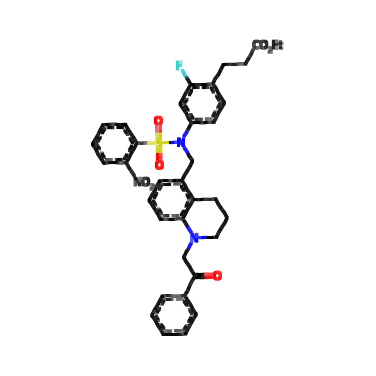 CCOC(=O)CCc1ccc(N(Cc2cccc3c2CCCN3CC(=O)c2ccccc2)S(=O)(=O)c2ccccc2[N+](=O)[O-])cc1F